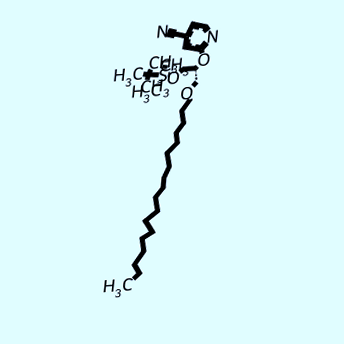 CCCCCCCCCCCCCCCCCCOC[C@H](CO[Si](C)(C)C(C)(C)C)Oc1cc(C#N)ccn1